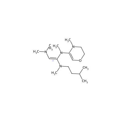 CC(C)CCN(C)/C(=C/N(C)C)N(C)C1=COCCN1C